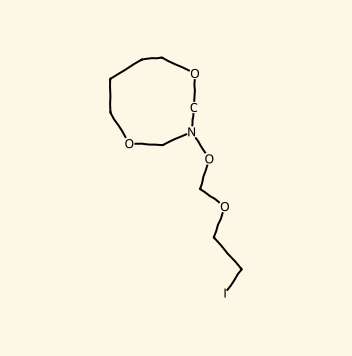 ICCOCON1COCCCCOC1